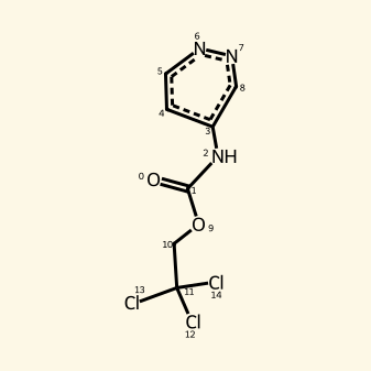 O=C(Nc1ccnnc1)OCC(Cl)(Cl)Cl